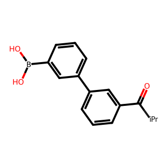 CC(C)C(=O)c1cccc(-c2cccc(B(O)O)c2)c1